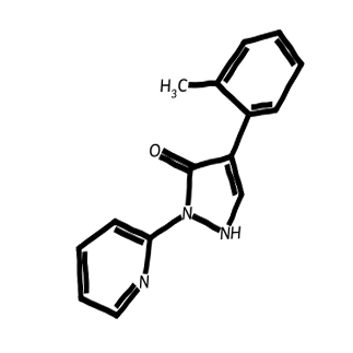 Cc1ccccc1-c1c[nH]n(-c2ccccn2)c1=O